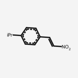 CC(C)c1ccc(C=C[N+](=O)[O-])cc1